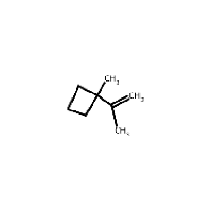 C=C(C)C1(C)CCC1